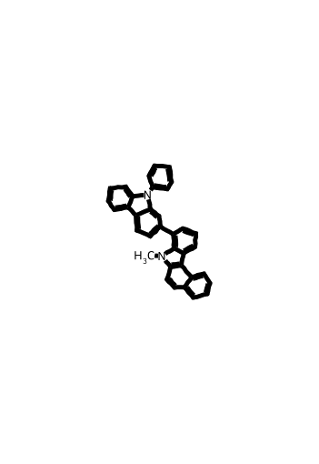 Cn1c2ccc3ccccc3c2c2cccc(-c3ccc4c5ccccc5n(-c5ccccc5)c4c3)c21